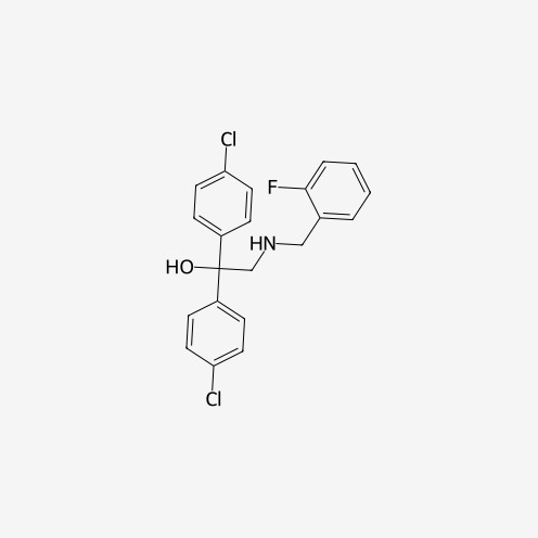 OC(CNCc1ccccc1F)(c1ccc(Cl)cc1)c1ccc(Cl)cc1